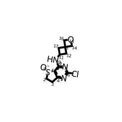 [O-][S+]1CCc2nc(Cl)nc(NC3CC4(COC4)C3)c21